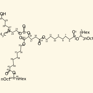 CCCCCCCCC(CCCCCC)OC(=O)CCCCCCCOC(=O)CCC(OC(=O)OCCN(C)CCCCO)C(=O)OCCCCCCCC(=O)OC(CCCCCC)CCCCCCCC